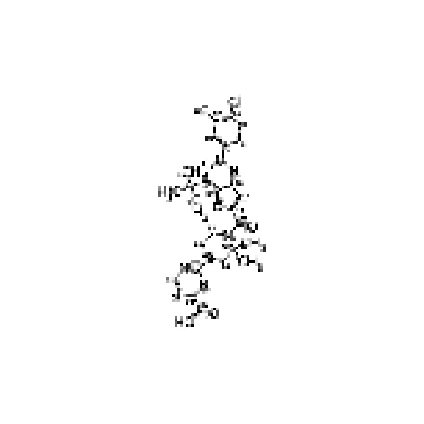 CC(C)(C)c1cc(-c2ccc(Cl)c(F)c2)nc2cc(C(=O)N3CCN(c4nccc(C(=O)O)n4)CC3(C)C)oc12